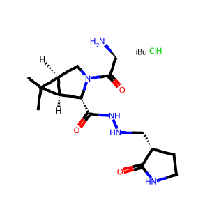 CC[C@H](C)[C@H](N)C(=O)N1C[C@H]2[C@@H]([C@H]1C(=O)NNC[C@@H]1CCNC1=O)C2(C)C.Cl